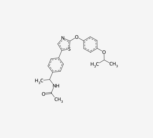 CC(=O)NC(C)c1ccc(-c2cnc(Oc3ccc(OC(C)C)cc3)s2)cc1